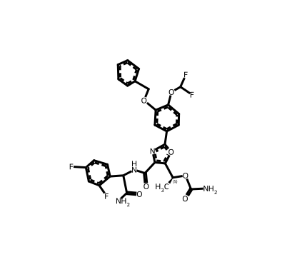 C[C@H](OC(N)=O)c1oc(-c2ccc(OC(F)F)c(OCc3ccccc3)c2)nc1C(=O)NC(C(N)=O)c1ccc(F)cc1F